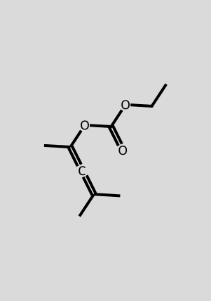 CCOC(=O)OC(C)=C=C(C)C